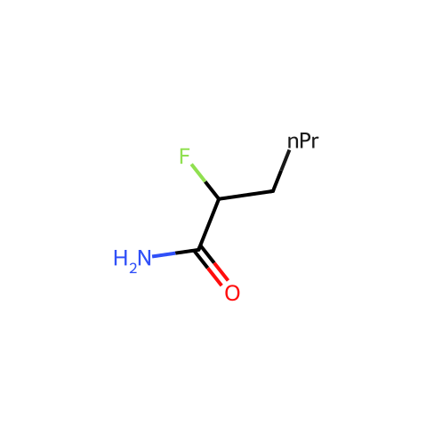 CCCCC(F)C(N)=O